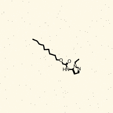 CCCCCCCCCOCC(=O)Nc1ccnn1CC